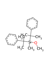 CO[Si](C)(C(C)(C)c1ccccc1)C(C)(C)c1ccccc1